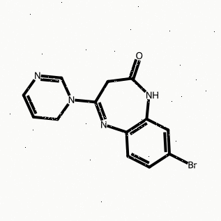 O=C1CC(N2C=NC=CC2)=Nc2ccc(Br)cc2N1